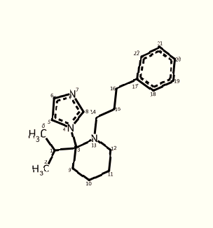 CC(C)C1(n2ccnc2)CCCCN1CCCc1ccccc1